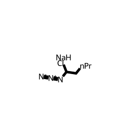 CCCCC(Cl)N=[N+]=[N-].[NaH]